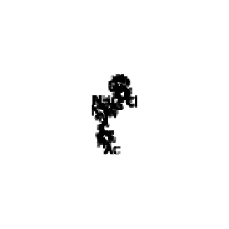 CC(=O)N1CCC(CCn2cnc(N)c3nc(Sc4cc5c(cc4Cl)OCCO5)nc2-3)CC1